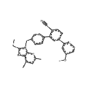 CCc1nc2c(C)cc(C)nc2n1Cc1ccc(-c2cc(-c3cc(OC)ccn3)ccc2C#N)cc1